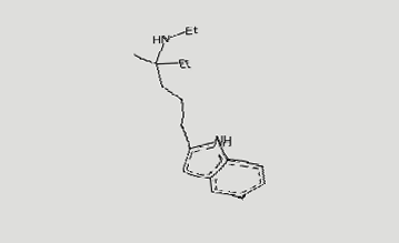 CCNC(C)(CC)CCCc1cc2ccccc2[nH]1